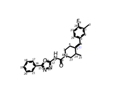 Cc1cc(/C=C2\CCN(C(=O)Nc3nnc(-c4ccccc4)o3)CC2C)ccc1F